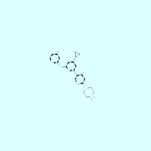 Cc1cc(N2CCS(O)(O)CC2)ncc1-c1cc(C2CC2)cc(Nc2cc(C#N)ccn2)n1